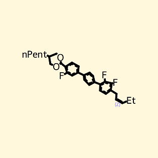 CC/C=C\Cc1ccc(-c2ccc(-c3ccc(C4OCC(CCCCC)CO4)c(F)c3)cc2)c(F)c1F